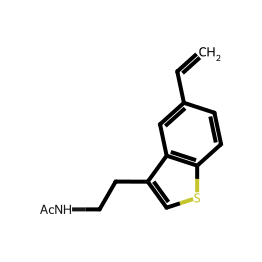 C=Cc1ccc2scc(CCNC(C)=O)c2c1